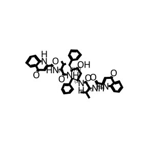 CC(C)[C@@H](NC(=O)c1cc(=O)c2ccccc2[nH]1)C(=O)N[C@@H](Cc1ccccc1)C[C@@H](O)[C@H](Cc1ccccc1)NC(=O)[C@H](NC(=O)c1cc(=O)c2ccccc2[nH]1)C(C)C